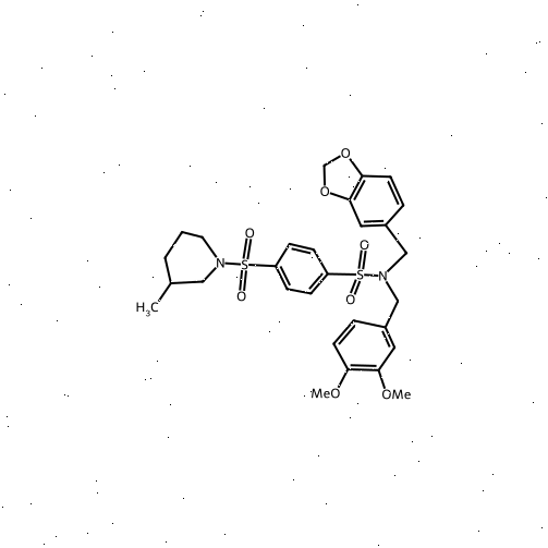 COc1ccc(CN(Cc2ccc3c(c2)OCO3)S(=O)(=O)c2ccc(S(=O)(=O)N3CCCC(C)C3)cc2)cc1OC